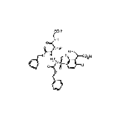 CC(C)[C@H](NC(=O)OCc1ccccc1)C(=O)NCC(=O)O.CN(C(=O)OCc1ccccc1)S(=O)(=O)c1ccc(Cl)c(C(C=O)C(=O)O)c1Cl